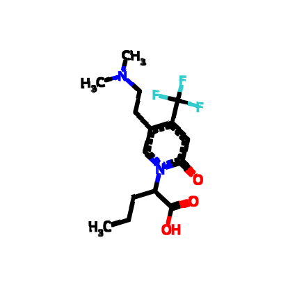 CCCC(C(=O)O)n1cc(CCN(C)C)c(C(F)(F)F)cc1=O